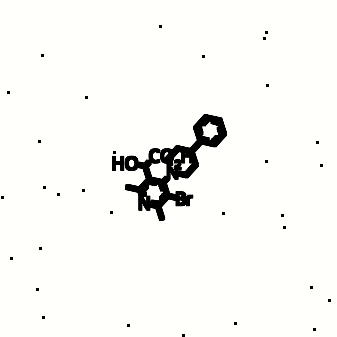 Cc1nc(C)c(C(O)C(=O)O)c(N2CCC(c3ccccc3)CC2)c1Br